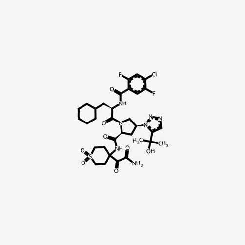 CC(C)(O)c1cnnn1[C@H]1C[C@@H](C(=O)NC2(C(=O)C(N)=O)CCS(=O)(=O)CC2)N(C(=O)[C@@H](CC2CCCCC2)NC(=O)c2cc(F)c(Cl)cc2F)C1